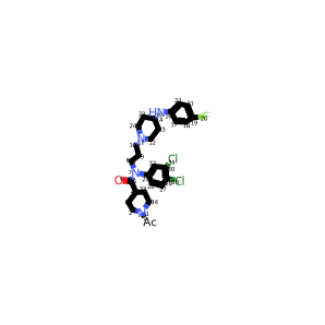 CC(=O)N1CCC(C(=O)N(CCCN2CCC(Nc3ccc(F)cc3)CC2)c2ccc(Cl)c(Cl)c2)CC1